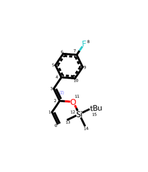 C=C/C(=C/c1ccc(F)cc1)O[Si](C)(C)C(C)(C)C